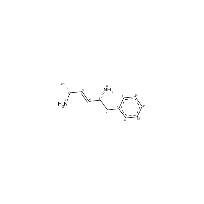 C[C@@H](N)/C=C/[C@H](N)Cc1ccccc1